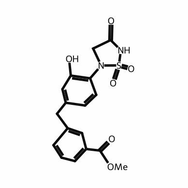 COC(=O)c1cccc(Cc2ccc(N3CC(=O)NS3(=O)=O)c(O)c2)c1